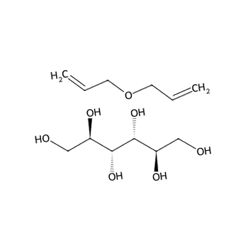 C=CCOCC=C.OC[C@@H](O)[C@@H](O)[C@H](O)[C@H](O)CO